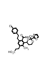 Cc1c(CCC(=O)O)cc(CCc2ccc(Cl)cc2)c(C(N)=O)c1C1CCOC(C)(c2ncco2)O1